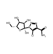 NC(=O)c1nnn([C@@]2(O)O[C@H](CO)[C@@H](O)[C@H]2O)c1Cl